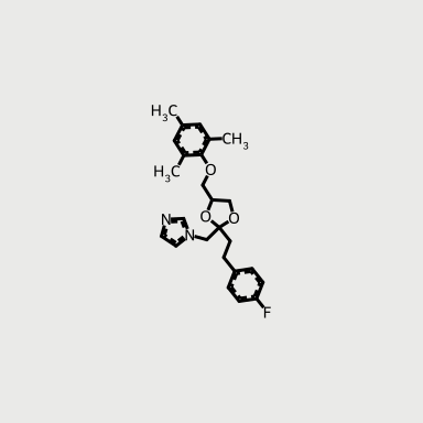 Cc1cc(C)c(OCC2COC(CCc3ccc(F)cc3)(Cn3ccnc3)O2)c(C)c1